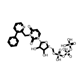 O=c1ccn([C@@H]2O[C@H](COP(=O)(O)OP(=O)(O)OP(=O)(O)O)C(O)C2O)c(=O)n1Cc1ncccc1-c1ccccc1